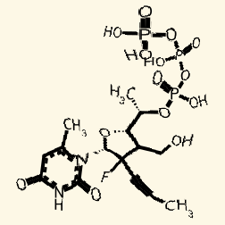 CC#CC1(F)C(CO)[C@@H]([C@H](C)OP(=O)(O)OP(=O)(O)OP(=O)(O)O)O[C@H]1n1c(C)cc(=O)[nH]c1=O